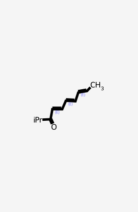 C/C=C/C=C/C=C/C(=O)C(C)C